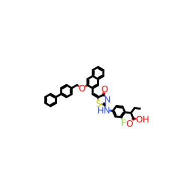 CCC(C(=O)O)c1ccc(NC2=NC(=O)/C(=C\c3cc4ccccc4cc3OCc3ccc(-c4ccccc4)cc3)S2)cc1F